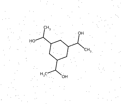 CC(O)C1CC(C(C)O)CC(C(C)O)C1